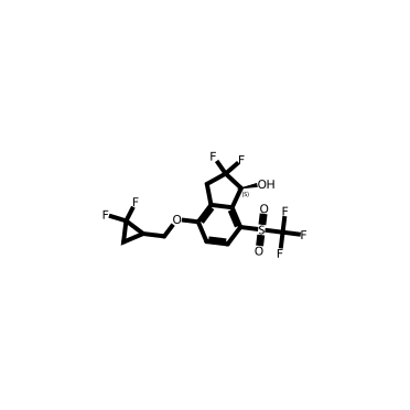 O=S(=O)(c1ccc(OCC2CC2(F)F)c2c1[C@H](O)C(F)(F)C2)C(F)(F)F